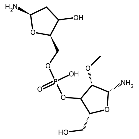 CO[C@H]1C(OP(=O)(O)OC[C@H]2O[C@@H](N)CC2O)[C@@H](CO)O[C@H]1N